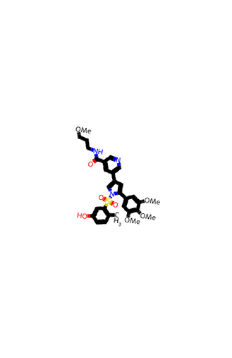 COCCCNC(=O)c1cncc(-c2cc(-c3cc(OC)c(OC)c(OC)c3)n(S(=O)(=O)c3cc(O)ccc3C)c2)c1